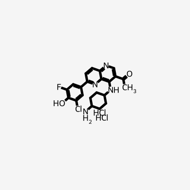 CC(=O)c1cnc2ccc(-c3cc(F)c(O)c(Cl)c3)nc2c1NC1CCC(N)CC1.Cl.Cl